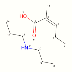 CCC=C(C)C(=O)O.CCCNCCC